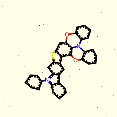 c1ccc(-n2c3ccccc3c3cc4c(cc32)sc2cc3c5c(c24)Oc2ccccc2N5c2ccccc2O3)cc1